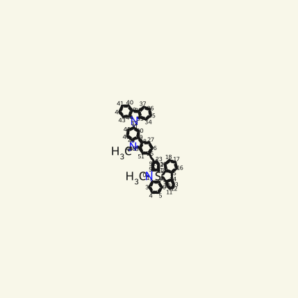 CN1c2ccccc2[Si]2(c3ccccc3-c3ccccc32)c2ccc(-c3ccc4c5cc(-n6c7ccccc7c7ccccc76)ccc5n(C)c4c3)cc21